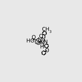 Cc1ccc(Cn2c(=O)n(C[C@H](C)C(=O)O)c(=O)[nH]/c2=N\c2ccc(Oc3ccccc3)cc2)cc1